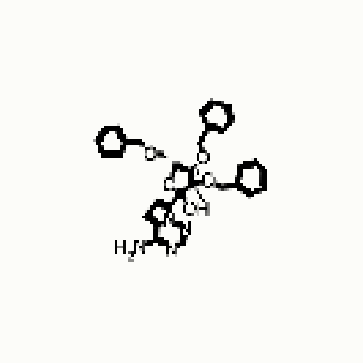 C[C@@]1(OCc2ccccc2)[C@H](OCc2ccccc2)[C@@H](COCc2ccccc2)OC1(O)c1ccc2c(N)ncnn12